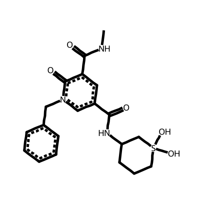 CNC(=O)c1cc(C(=O)NC2CCCS(O)(O)C2)cn(Cc2ccccc2)c1=O